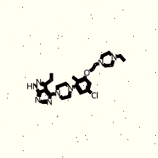 CCc1n[nH]c2ncnc(N3CCN(c4cc(Cl)cc(OCCN5CCN(CC)CC5)c4C)CC3)c12